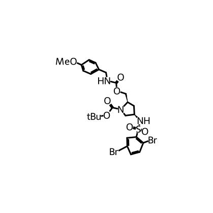 COc1ccc(CNC(=O)OC[C@H]2C[C@@H](NS(=O)(=O)c3cc(Br)ccc3Br)CN2C(=O)OC(C)(C)C)cc1